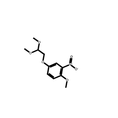 COc1ccc(OCC(OC)OC)cc1[N+](=O)[O-]